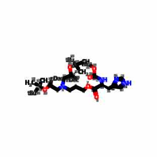 CCCCCCCCCCC(CN(CCCOC(=O)[C@H](Cc1c[nH]cn1)NC(=O)OC(C)(C)C)CC(CCCCCCCCCC)O[Si](C)(C)C(C)(C)C)O[Si](C)(C)C(C)(C)C